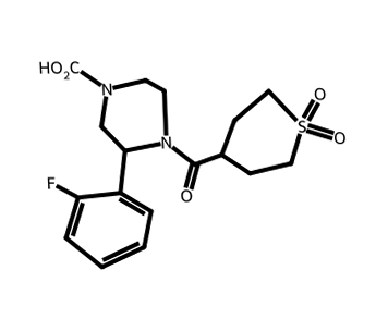 O=C(O)N1CCN(C(=O)C2CCS(=O)(=O)CC2)C(c2ccccc2F)C1